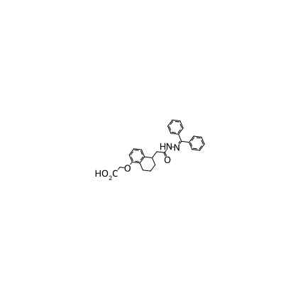 O=C(O)COc1cccc2c1CCCC2CC(=O)NN=C(c1ccccc1)c1ccccc1